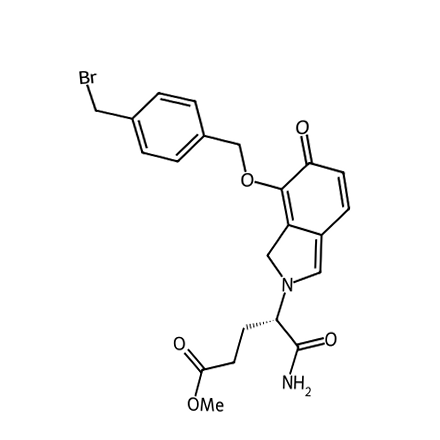 COC(=O)CC[C@@H](C(N)=O)N1C=C2C=CC(=O)C(OCc3ccc(CBr)cc3)=C2C1